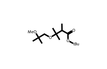 COC(C)(C)COC(C)(C)C(C)C(=O)OC(C)(C)C